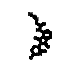 [N-]=[N+]=NCC(=O)Nc1cccc2c1C(=O)N(C1CCC(=O)NC1=O)C2=O